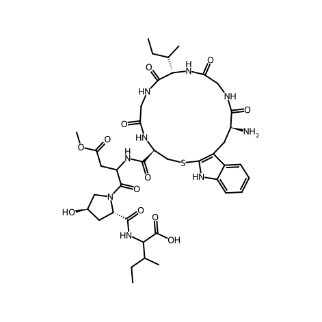 CCC(C)C(NC(=O)[C@@H]1C[C@@H](O)CN1C(=O)C(CC(=O)OC)NC(=O)[C@@H]1CSc2[nH]c3ccccc3c2C[C@H](N)C(=O)NCC(=O)N[C@@H](C(C)CC)C(=O)NCC(=O)N1)C(=O)O